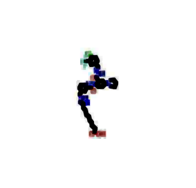 O=C(O)CCCCCCCCc1cn(Cc2cccc(C(=O)Nc3ccc(N4CCCCC4)cc3C(=O)N/N=C/c3ccc(Cl)c(C(F)(F)F)c3)c2)nn1